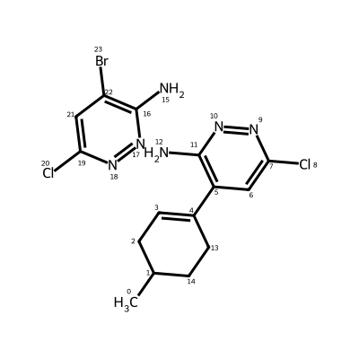 CC1CC=C(c2cc(Cl)nnc2N)CC1.Nc1nnc(Cl)cc1Br